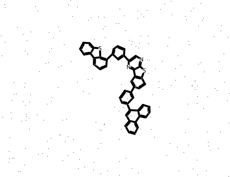 c1cc(-c2ccc3sc4ncc(-c5cccc(-c6cccc7c6sc6ccccc67)c5)nc4c3c2)cc(-c2cc3ccccc3c3ccccc23)c1